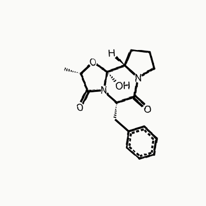 C[C@@H]1O[C@@]2(O)[C@@H]3CCCN3C(=O)[C@H](Cc3ccccc3)N2C1=O